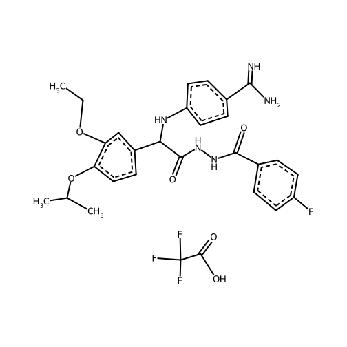 CCOc1cc(C(Nc2ccc(C(=N)N)cc2)C(=O)NNC(=O)c2ccc(F)cc2)ccc1OC(C)C.O=C(O)C(F)(F)F